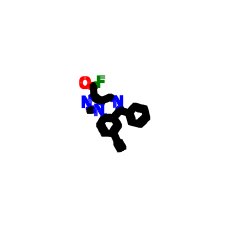 C#Cc1ccc2c(c1)C(c1ccccc1)=NCc1c(C(=O)F)ncn1-2